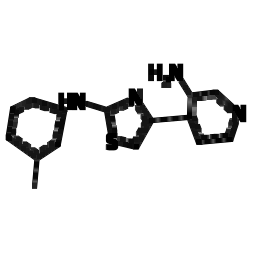 Cc1cccc(Nc2nc(-c3ccncc3N)cs2)c1